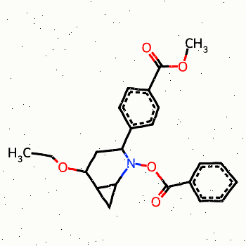 CCOC1CC(c2ccc(C(=O)OC)cc2)N(OC(=O)c2ccccc2)C2CC12